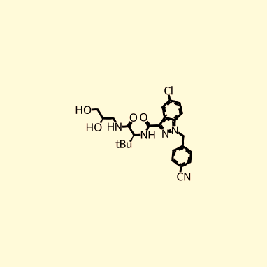 CC(C)(C)[C@H](NC(=O)c1nn(Cc2ccc(C#N)cc2)c2ccc(Cl)cc12)C(=O)NC[C@@H](O)CO